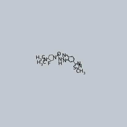 Cc1nnc(-c2ccc3cnc(NC(=O)N4CC[C@H](N(C)C)[C@@H](F)C4)nc3c2)s1